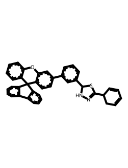 C1=CCC(C2=NNC(c3cccc(-c4ccc5c(c4)Oc4ccccc4C54c5ccccc5-c5ccccc54)c3)S2)C=C1